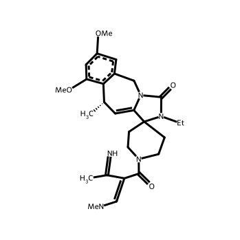 CCN1C(=O)N2Cc3cc(OC)cc(OC)c3[C@@H](C)C=C2C12CCN(C(=O)/C(=C/NC)C(C)=N)CC2